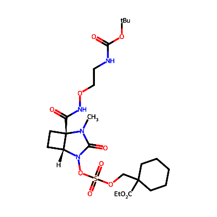 CCOC(=O)C1(COS(=O)(=O)ON2C(=O)N(C)[C@@]3(C(=O)NOCCNC(=O)OC(C)(C)C)CC[C@@H]23)CCCCC1